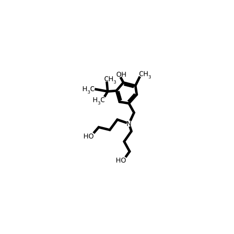 Cc1cc(CN(CCCO)CCCO)cc(C(C)(C)C)c1O